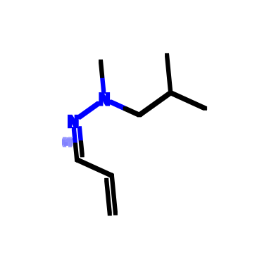 C=C/C=N\N(C)CC(C)C